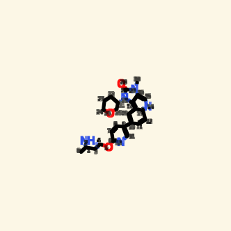 CC(N)CCOc1ccc(-c2ccc3ncc4c(c3c2)n([C@H]2CCCOC2)c(=O)n4C)cn1